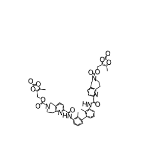 Cc1oc(=O)oc1COC(=O)N1CCc2nc(C(=O)Nc3cccc(-c4cccc(NC(=O)c5ccc6c(n5)CCN(C(=O)OCc5oc(=O)oc5C)C6)c4C)c3C)ccc2C1